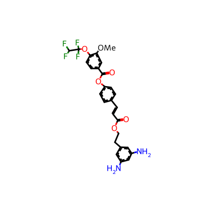 COc1cc(C(=O)Oc2ccc(/C=C/C(=O)OCCc3cc(N)cc(N)c3)cc2)ccc1OC(F)(F)C(F)F